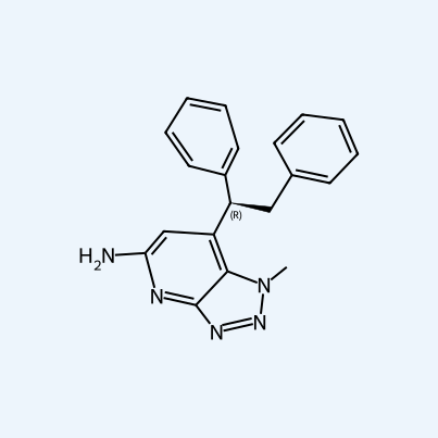 Cn1nnc2nc(N)cc([C@H](Cc3ccccc3)c3ccccc3)c21